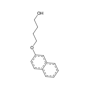 OCCCCOc1ccc2ccccc2c1